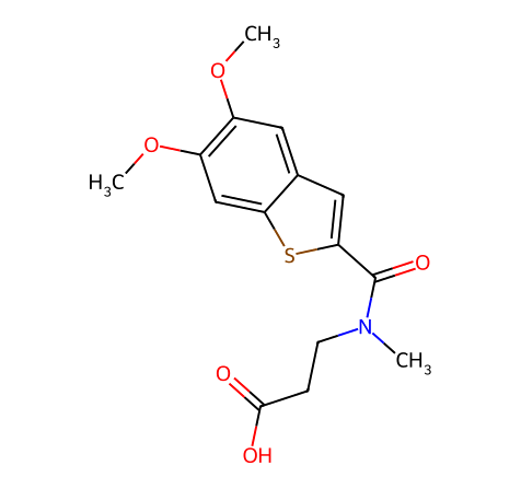 COc1cc2cc(C(=O)N(C)CCC(=O)O)sc2cc1OC